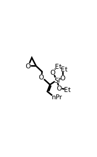 CCCC=C(OCC1CO1)[Si](OCC)(OCC)OCC